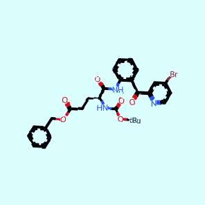 CC(C)(C)OC(=O)N[C@@H](CCC(=O)OCc1ccccc1)C(=O)Nc1ccccc1C(=O)c1cc(Br)ccn1